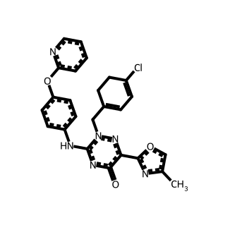 Cc1coc(-c2nn(CC3=CC=C(Cl)CC3)c(Nc3ccc(Oc4ccccn4)cc3)nc2=O)n1